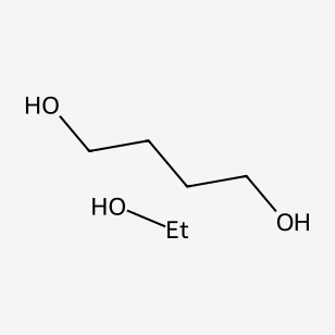 CCO.OCCCCO